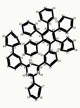 c1ccc(-c2cccc(-c3nc(-c4ccccc4)nc(-c4cccc(-c5c(-c6ccccc6)c(-c6ccccc6)c(-c6ccccc6)c(-c6ccccc6)c5-c5ccccc5)c4)n3)c2)cc1